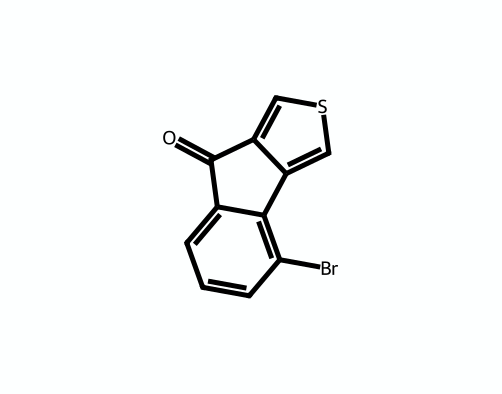 O=C1c2cscc2-c2c(Br)cccc21